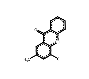 Cc1cc(Cl)c2oc3ccccc3c(=O)c2c1